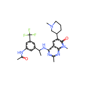 CC(=O)Nc1cc(C(C)Nc2nc(C)nc3c2cc(C2CCCN(C)C2)c(=O)n3C)cc(C(F)(F)F)c1